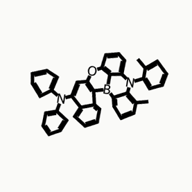 Cc1ccccc1N1c2cccc3c2B(c2cccc(C)c21)c1c(cc(N(c2ccccc2)c2ccccc2)c2ccccc12)O3